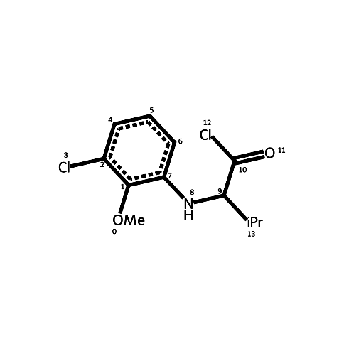 COc1c(Cl)cccc1NC(C(=O)Cl)C(C)C